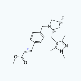 COC(=O)/C=C/c1ccc(CN2C[C@H](F)C[C@@H]2Cc2c(C)nn(C)c2C)cc1